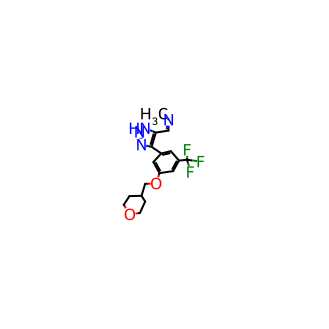 C/N=C\c1[nH]nnc1-c1cc(OCC2CCOCC2)cc(C(F)(F)F)c1